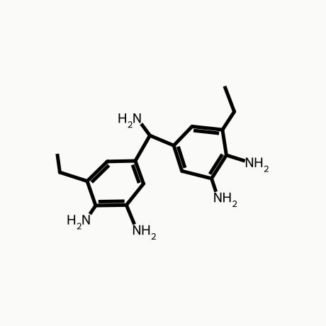 CCc1cc(C(N)c2cc(N)c(N)c(CC)c2)cc(N)c1N